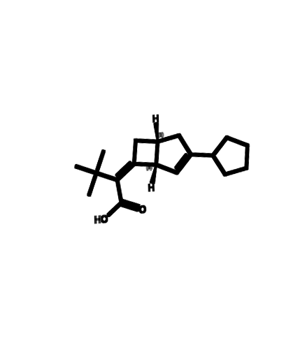 CC(C)(C)C(C(=O)O)=C1C[C@@H]2CC(C3CCCC3)=C[C@H]12